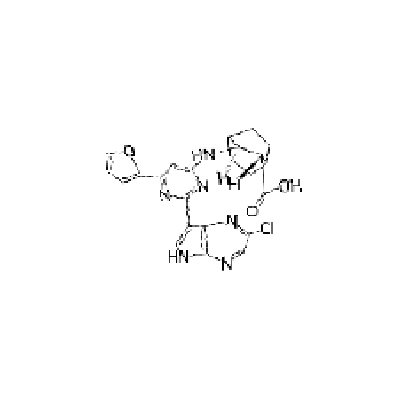 O=C(O)[C@H]1C2CCC(CC2)[C@@H]1Nc1cc(-c2ccco2)nc(-c2c[nH]c3ncc(Cl)nc23)n1